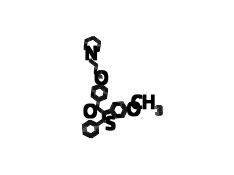 COc1ccc2c(C(=O)c3ccc(OCCCN4CCCCC4)cc3)c(-c3ccccc3)sc2c1